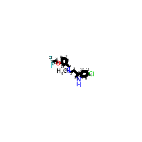 CN(CCc1c[nH]c2cc(Cl)ccc12)Cc1cccc(OCC(F)F)c1